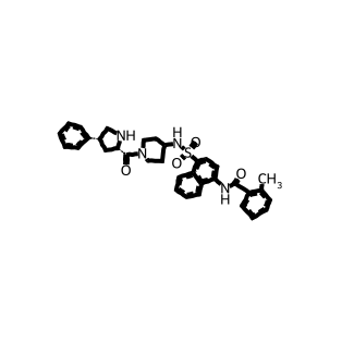 Cc1ccccc1C(=O)Nc1ccc(S(=O)(=O)NC2CCN(C(=O)[C@@H]3C[C@H](c4ccccc4)CN3)CC2)c2ccccc12